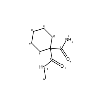 CNC(=O)C1(C(N)=O)CCCCC1